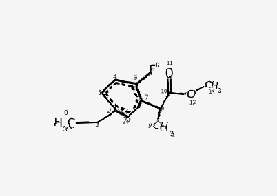 CCc1ccc(F)c(C(C)C(=O)OC)c1